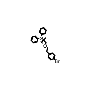 CC(C)(COCCc1ccc(Br)cc1)[SiH](c1ccccc1)c1ccccc1